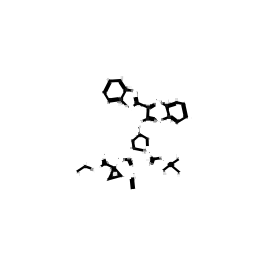 C=C[C@@H]1C[C@]1(NC(=O)[C@@H]1C[C@@H](Oc2nc3ccccc3nc2-c2nc3ccccc3s2)CN1C(=O)OC(C)(C)C)C(=O)OCC